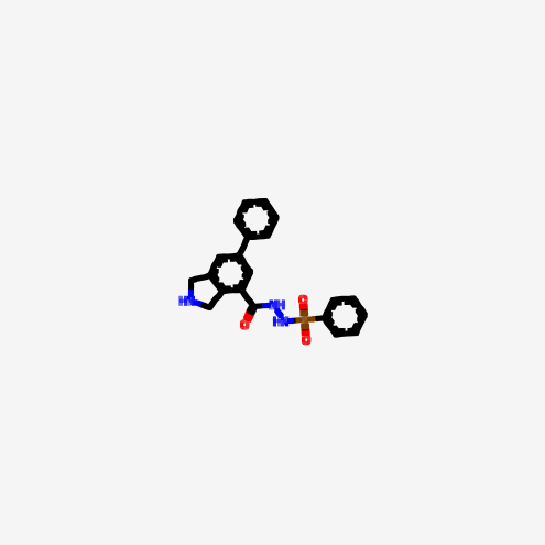 O=C(NNS(=O)(=O)c1ccccc1)c1cc(-c2ccccc2)cc2c1CNC2